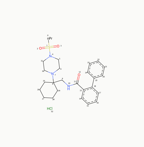 CCCS(=O)(=O)N1CCN(C2(CNC(=O)c3ccccc3-c3ccccc3)CCCCC2)CC1.Cl